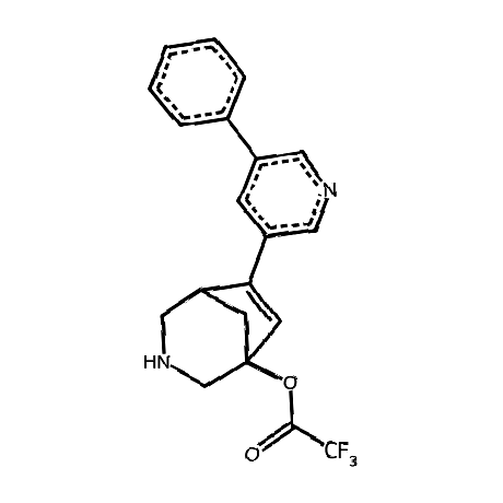 O=C(OC12C=C(c3cncc(-c4ccccc4)c3)C(CNC1)C2)C(F)(F)F